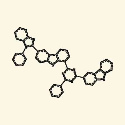 c1ccc(-c2nc(-c3ccc4sc5ccccc5c4c3)nc(-c3cccc4c3sc3ccc(-c5nc6ccccc6n5-c5ccccc5)cc34)n2)cc1